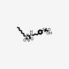 CCCCCCCn1nc(NCCCc2ccc(SC(C)(C)C(=O)O)cc2)c(=O)n(C)c1=O